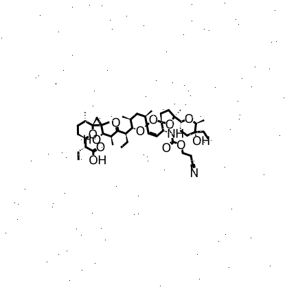 CC[C@@H](C(=O)[C@@H](C)[C@@H](O)C1(C)C[C@]12O[C@@H]([C@@H](CC)C(=O)O)CC[C@@H]2C)[C@H]1O[C@]2(C=C[C@@H](NC(=O)OCCC#N)[C@]3(CC[C@@](C)([C@H]4CC[C@](O)(CC)[C@H](C)O4)O3)O2)[C@H](C)C[C@@H]1C